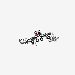 COc1cc2nc(N(C)CC3(c4ccccc4)CCN(C4(C(=O)C5(N6CCC(CN(C)c7nc(N)c8cc(OC)c(OC)cc8n7)(c7ccccc7)CC6)CCCC5)CCCC4)CC3)nc(N)c2cc1OC